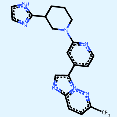 FC(F)(F)c1ccc2ncc(-c3ccnc(N4CCCC(c5ncc[nH]5)C4)c3)n2n1